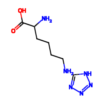 NCCCCC(N)C(=O)O.c1nnn[nH]1